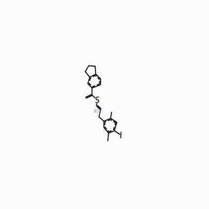 C=C(S/C=C/Cc1cc(C)c(I)cc1C)c1ccc2c(c1)CCC2